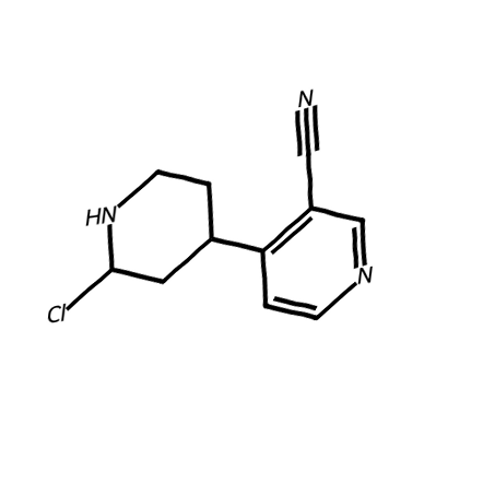 N#Cc1cnccc1C1CCNC(Cl)C1